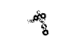 O=C(c1ccc(O)cc1NCCN1CCN(c2ccccc2)CC1)N1CCCCC1